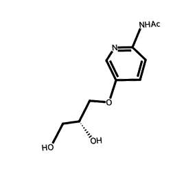 CC(=O)Nc1ccc(OC[C@H](O)CO)cn1